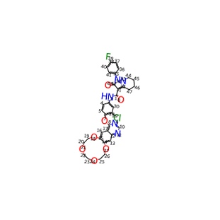 O=C(Nc1ccc(Oc2ncnc3cc4c(cc23)OCCOCCOCCO4)c(Cl)c1)c1c2n(n(-c3ccc(F)cc3)c1=O)CCCC2